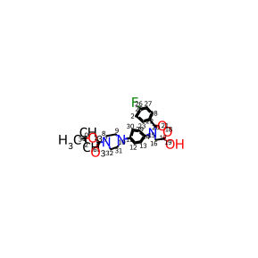 CC(C)(C)OC(=O)N1CCN(c2ccc(N(CC(=O)O)C(=O)c3ccc(F)cc3)cc2)CC1